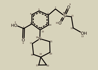 O=C(O)c1ccc(CS(=O)(=O)CCO)cc1N1CCC2(CC1)CC2